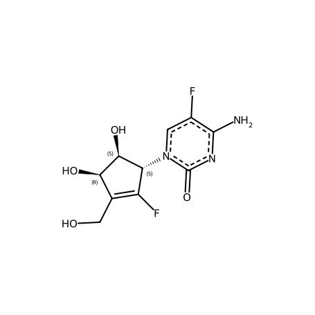 Nc1nc(=O)n([C@@H]2C(F)=C(CO)[C@@H](O)[C@H]2O)cc1F